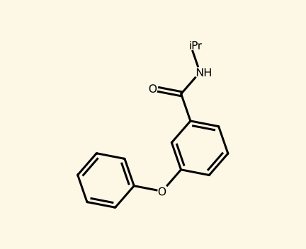 CC(C)NC(=O)c1cccc(Oc2ccccc2)c1